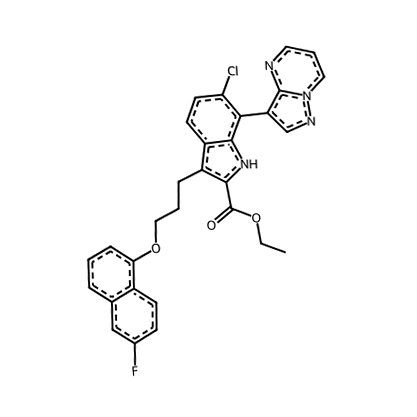 CCOC(=O)c1[nH]c2c(-c3cnn4cccnc34)c(Cl)ccc2c1CCCOc1cccc2cc(F)ccc12